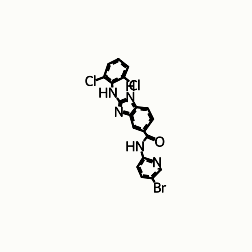 O=C(Nc1ccc(Br)cn1)c1ccc2[nH]c(Nc3c(Cl)cccc3Cl)nc2c1